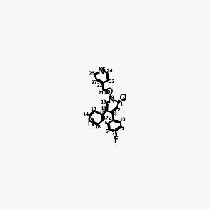 O=c1cc(-c2ccc(F)cc2)c(-c2ccncc2)cn1OCc1ccncc1